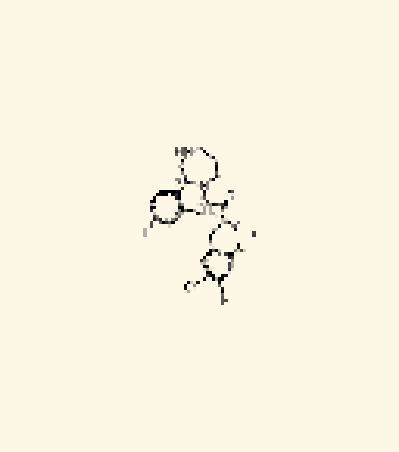 Cc1cc(F)ccc1[C@H]1CNCCCN1OC(=O)N(C)Cc1cc(Cl)c(F)cc1Cl